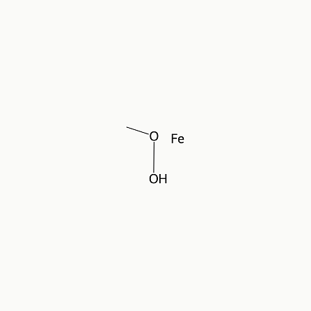 COO.[Fe]